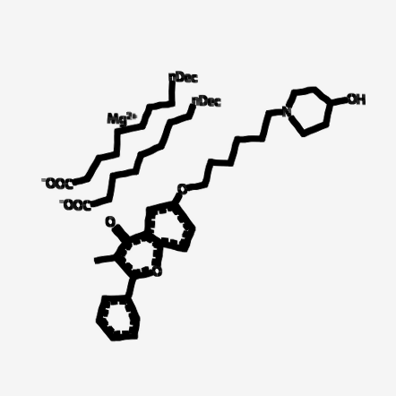 CCCCCCCCCCCCCCCCCC(=O)[O-].CCCCCCCCCCCCCCCCCC(=O)[O-].Cc1c(-c2ccccc2)oc2ccc(OCCCCCCN3CCC(O)CC3)cc2c1=O.[Mg+2]